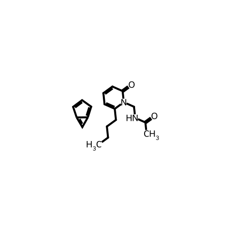 CCCCc1cccc(=O)n1CNC(C)=O.c1cc2cc-2c1